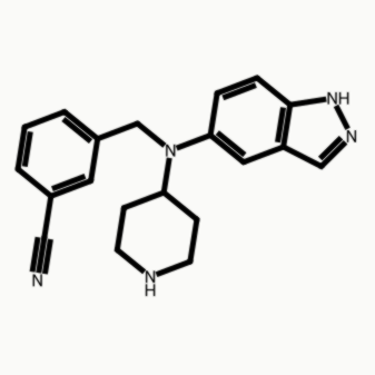 N#Cc1cccc(CN(c2ccc3[nH]ncc3c2)C2CCNCC2)c1